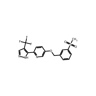 CS(=O)(=O)c1cccc(COc2ccc(-c3[nH]ncc3C(F)(F)F)nc2)c1